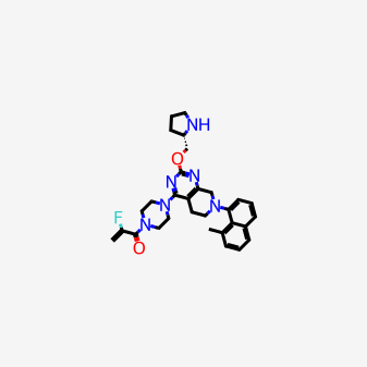 C=C(F)C(=O)N1CCN(c2nc(OC[C@@H]3CCCN3)nc3c2CCN(c2cccc4cccc(C)c24)C3)CC1